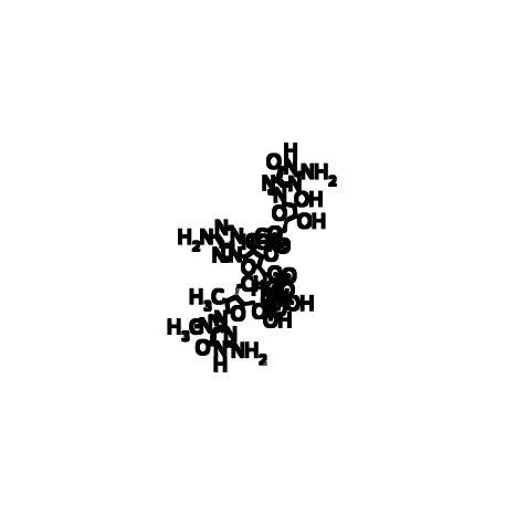 CC[C@H]1[C@@H](C)[C@H](n2c[n+](C)c3c(=O)[nH]c(N)nc32)O[C@@H]1COP(=O)(O)OP(=O)(O)OP(=O)(O)OC[C@H]1O[C@@H](n2cnc3c(N)ncnc32)[C@H](OC)[C@@H]1OP(=O)(O)OC[C@H]1O[C@@H](n2cnc3c(=O)[nH]c(N)nc32)[C@H](O)[C@@H]1O